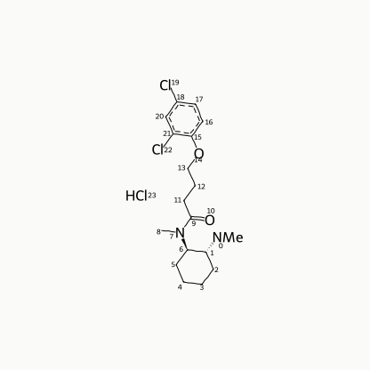 CN[C@@H]1CCCC[C@H]1N(C)C(=O)CCCOc1ccc(Cl)cc1Cl.Cl